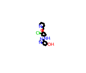 Oc1ccc2ncnc(Nc3ccc(OCc4ccccn4)c(Cl)c3)c2c1